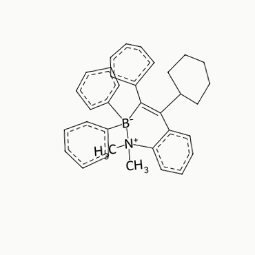 C[N+]1(C)c2ccccc2C(C2CCCCC2)=C(c2ccccc2)[B-]1(c1ccccc1)c1ccccc1